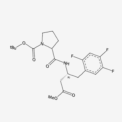 COC(=O)C[C@@H](Cc1cc(F)c(F)cc1F)NC(=O)C1CCCN1C(=O)OC(C)(C)C